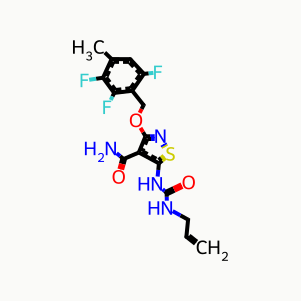 C=CCNC(=O)Nc1snc(OCc2c(F)cc(C)c(F)c2F)c1C(N)=O